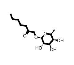 CCCCCC(=O)CO[C@H]1O[C@@H](C)[C@@H](O)[C@@H](O)[C@@H]1O